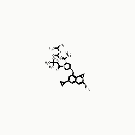 C=C(C)OC(=O)N[C@H](C(=O)N1C[C@H](Oc2cc(C3CC3)nc3c2C2CI2C(OC)=C3)C[C@H]1C(=O)NC)C(C)(C)C